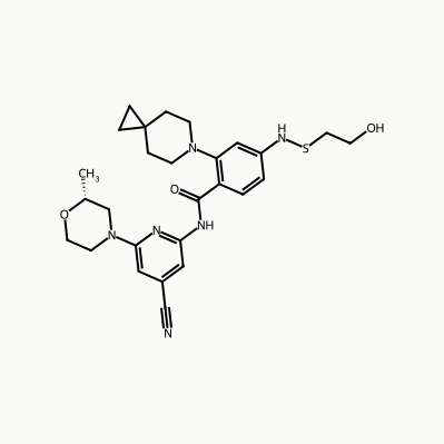 C[C@@H]1CN(c2cc(C#N)cc(NC(=O)c3ccc(NSCCO)cc3N3CCC4(CC3)CC4)n2)CCO1